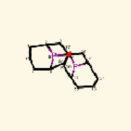 C1CC2CCCC(C1)P2CP1C2CCCC1CCC2